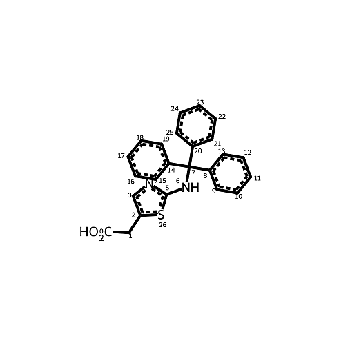 O=C(O)Cc1cnc(NC(c2ccccc2)(c2ccccc2)c2ccccc2)s1